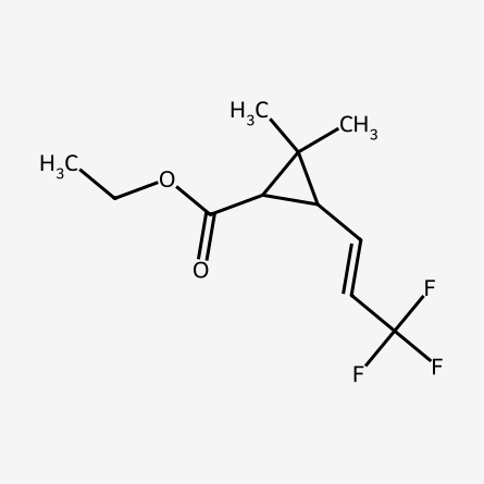 CCOC(=O)C1C(C=CC(F)(F)F)C1(C)C